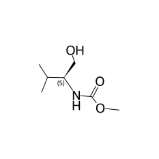 COC(=O)N[C@H](CO)C(C)C